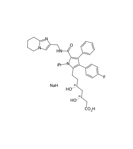 CC(C)n1c(CC[C@@H](O)C[C@@H](O)CC(=O)O)c(-c2ccc(F)cc2)c(-c2ccccc2)c1C(=O)NCc1cn2c(n1)CCCC2.[NaH]